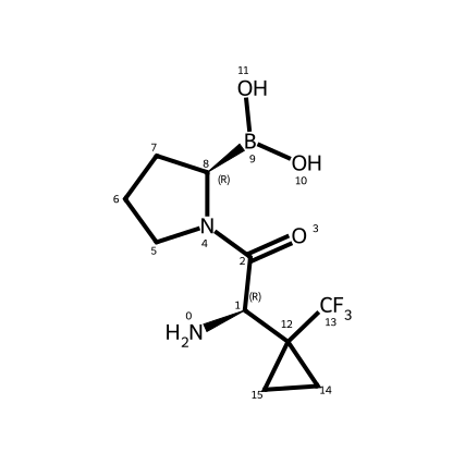 N[C@@H](C(=O)N1CCC[C@H]1B(O)O)C1(C(F)(F)F)CC1